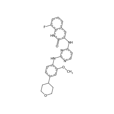 COc1cc(C2CCOCC2)ccc1Nc1nccc(Nc2cc3cccc(F)c3[nH]c2=O)n1